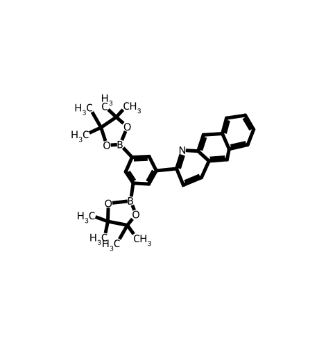 CC1(C)OB(c2cc(B3OC(C)(C)C(C)(C)O3)cc(-c3ccc4cc5ccccc5cc4n3)c2)OC1(C)C